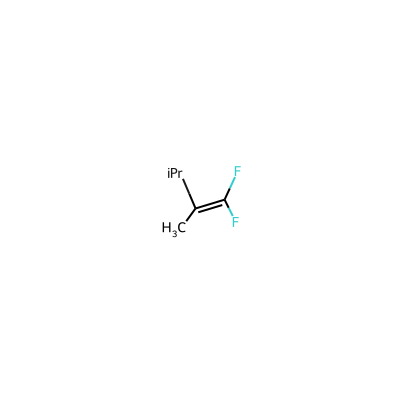 CC(=C(F)F)C(C)C